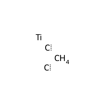 C.[C].[C].[Ti]